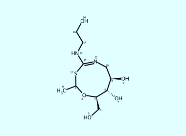 CC1O[C@H](CO)[C@@H](O)[C@H](O)C/N=C(/NCCO)S1